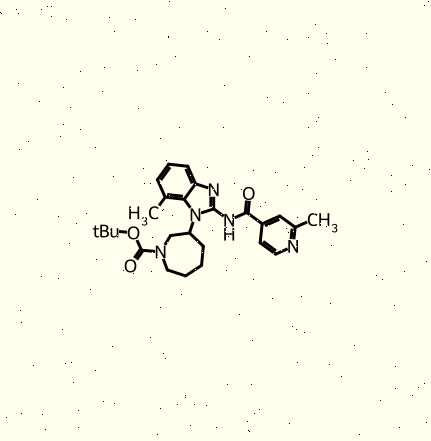 Cc1cc(C(=O)Nc2nc3cccc(C)c3n2C2CCCCN(C(=O)OC(C)(C)C)C2)ccn1